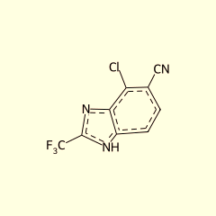 N#Cc1ccc2[nH]c(C(F)(F)F)nc2c1Cl